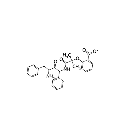 CC(C)(Oc1ccccc1[N+](=O)[O-])C(=O)NC(C(=O)C(N)Cc1ccccc1)c1ccccc1